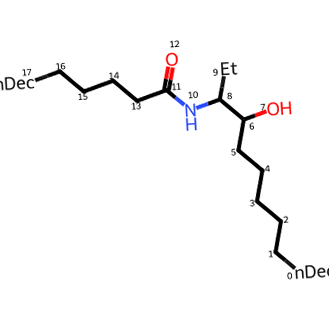 CCCCCCCCCCCCCCCC(O)C(CC)NC(=O)CCCCCCCCCCCCCC